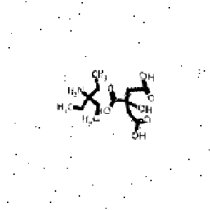 CCC(N)(CC)CC.O=C(O)CC(O)(CC(=O)O)C(=O)O